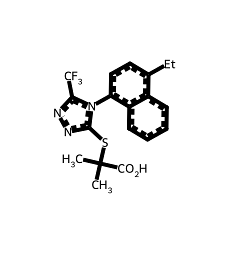 CCc1ccc(-n2c(SC(C)(C)C(=O)O)nnc2C(F)(F)F)c2ccccc12